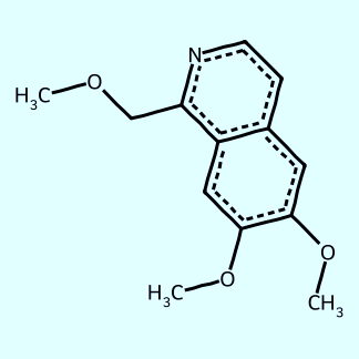 COCc1nccc2cc(OC)c(OC)cc12